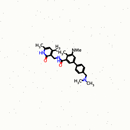 CNc1cc(-c2ccc(CN(C)C)cc2)cc(C(=O)NCc2c(C)cc(C)[nH]c2=O)c1C